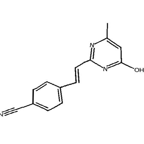 Cc1cc(O)nc(/C=C/c2ccc(C#N)cc2)n1